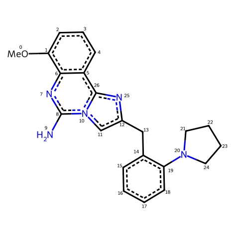 COc1cccc2c1nc(N)n1cc(Cc3ccccc3N3CCCC3)nc21